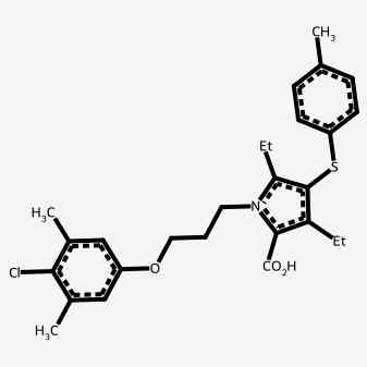 CCc1c(Sc2ccc(C)cc2)c(CC)n(CCCOc2cc(C)c(Cl)c(C)c2)c1C(=O)O